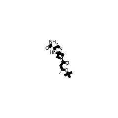 C[C@H](CC(=O)N1CC2(C1)N[C@H](C(N)=O)CS2)OC(C)(C)C